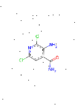 NC(=O)c1cc(Cl)nc(Cl)c1N